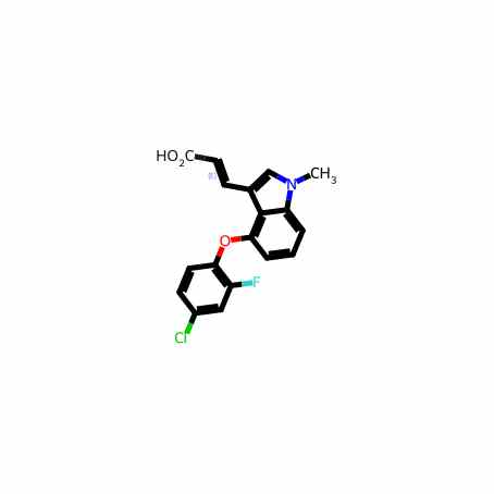 Cn1cc(/C=C/C(=O)O)c2c(Oc3ccc(Cl)cc3F)cccc21